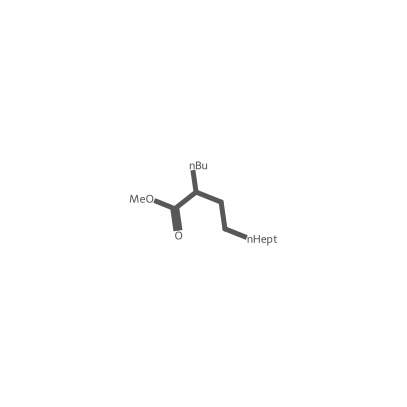 CCCCCCCCCC(CCCC)C(=O)OC